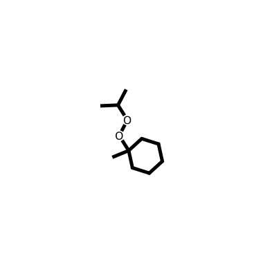 CC(C)OOC1(C)CCCCC1